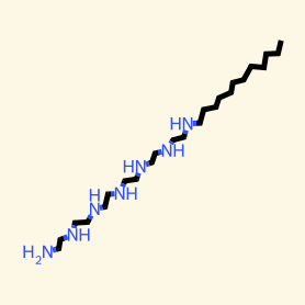 CCCCCCCCCCCCNCCNCCNCCNCCNCCNCCN